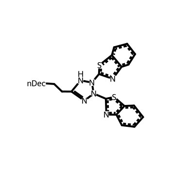 CCCCCCCCCCCCC1=NN(c2nc3ccccc3s2)N(c2nc3ccccc3s2)N1